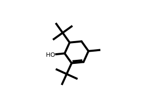 CC1C=C(C(C)(C)C)C(O)C(C(C)(C)C)C1